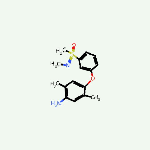 CN=S(C)(=O)c1cccc(Oc2cc(C)c(N)cc2C)c1